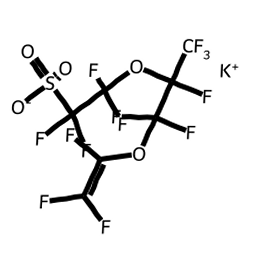 O=S(=O)([O-])C(F)(F)C(F)(F)OC(F)(C(F)(F)F)C(F)(F)OC(F)=C(F)F.[K+]